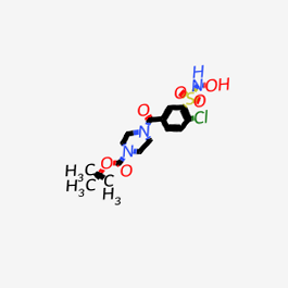 CC(C)(C)OC(=O)N1CCN(C(=O)c2ccc(Cl)c(S(=O)(=O)NO)c2)CC1